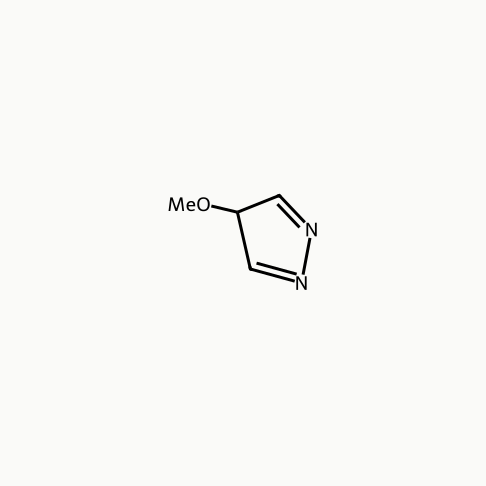 COC1C=NN=C1